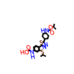 CC(C)OC(=O)NC1CCC(c2nnc(-c3ccc(NC(=O)O)cc3SC(C)C)s2)CC1